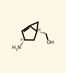 N[C@@H]1C=C2C[C@@]2(CO)C1